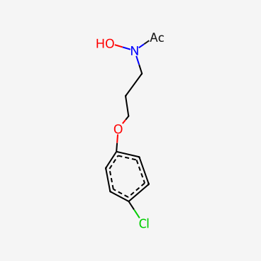 CC(=O)N(O)CCCOc1ccc(Cl)cc1